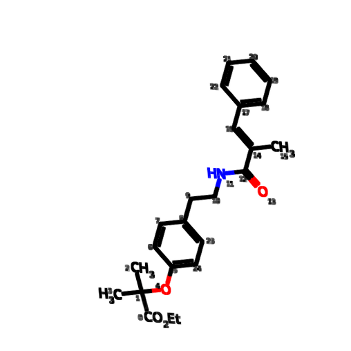 CCOC(=O)C(C)(C)Oc1ccc(CCNC(=O)C(C)=Cc2ccccc2)cc1